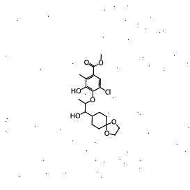 COC(=O)c1cc(Cl)c(OC(C)C(O)C2CCC3(CC2)OCCO3)c(O)c1C